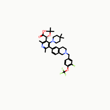 Cc1nc(C)c([C@H](OC(C)(C)C)C(=O)O)c(N2CCC(C)(C)CC2)c1-c1ccc2c(c1)CCN(Cc1ccc(OC(F)(F)F)c(F)c1)C2